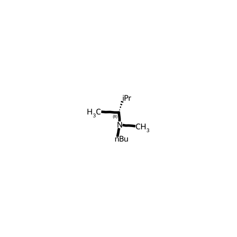 CCCCN(C)[C@H](C)C(C)C